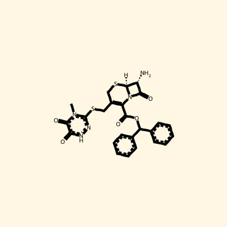 Cn1c(SCC2=C(C(=O)OC(c3ccccc3)c3ccccc3)N3C(=O)[C@@H](N)[C@@H]3SC2)n[nH]c(=O)c1=O